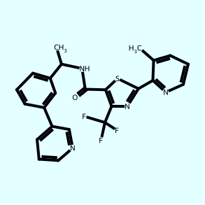 Cc1cccnc1-c1nc(C(F)(F)F)c(C(=O)NC(C)c2cccc(-c3cccnc3)c2)s1